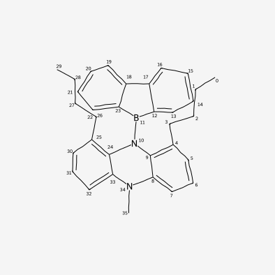 CCCCc1cccc2c1N(B1c3ccccc3-c3ccccc31)c1c(CCCC)cccc1N2C